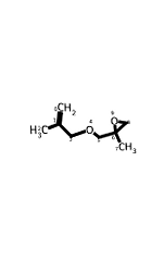 C=C(C)COCC1(C)CO1